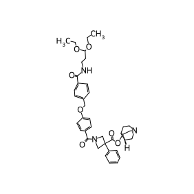 CCOC(CCNC(=O)c1ccc(COc2ccc(C(=O)N3CC(C(=O)O[C@H]4CN5CCC4CC5)(c4ccccc4)C3)cc2)cc1)OCC